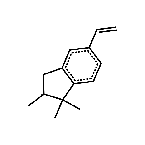 C=Cc1ccc2c(c1)C[C](C)C2(C)C